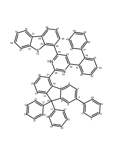 c1ccc(-c2ccc3c(c2)C(c2ccccc2)(c2ccccc2)c2cccc(-c4nc(-c5ccccc5-c5ccccc5)cc(-c5cccc6c5sc5ccccc56)n4)c2-3)cc1